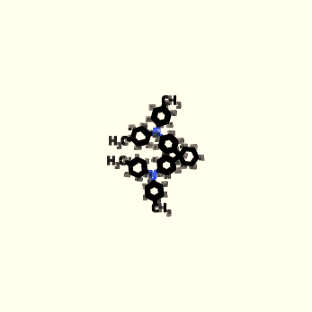 CC1=CC=C(N(c2ccc(C)cc2)c2ccc(C3(c4ccc(N(C5=CCC(C)C=C5)c5ccc(C)cc5)cc4)CCCCC3)cc2)CC1